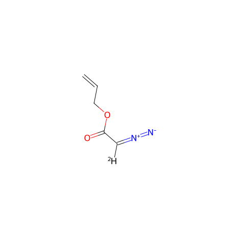 [2H]C(=[N+]=[N-])C(=O)OCC=C